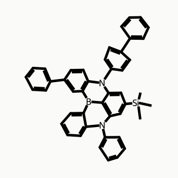 C[Si](C)(C)c1cc2c3c(c1)N(c1ccc(-c4ccccc4)cc1)c1ccc(-c4ccccc4)cc1B3c1ccccc1N2c1ccccc1